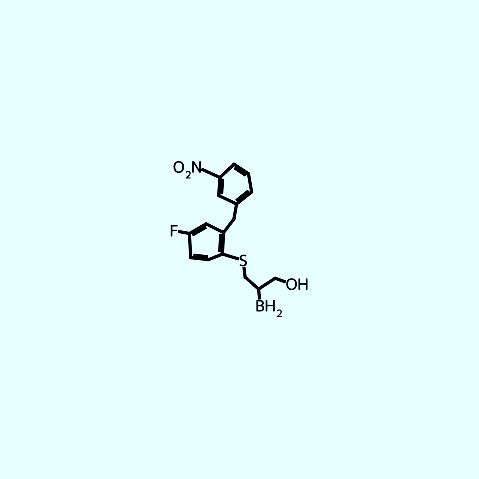 BC(CO)CSc1ccc(F)cc1Cc1cccc([N+](=O)[O-])c1